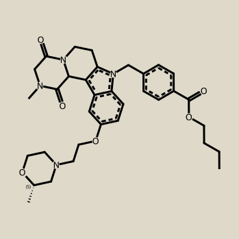 CCCCOC(=O)c1ccc(Cn2c3c(c4cc(OCCN5CCO[C@@H](C)C5)ccc42)C2C(=O)N(C)CC(=O)N2CC3)cc1